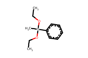 CC[O][Ti]([CH3])([O]CC)[c]1ccccc1